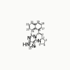 C(=CC1CCCN1c1ncnc2[nH]cnc12)c1cccc2ccccc12